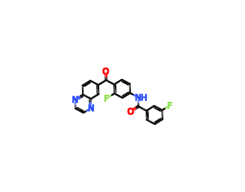 O=C(Nc1ccc(C(=O)c2ccc3nccnc3c2)c(F)c1)c1cccc(F)c1